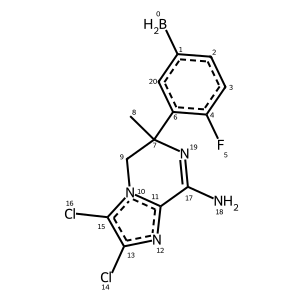 Bc1ccc(F)c(C2(C)Cn3c(nc(Cl)c3Cl)C(N)=N2)c1